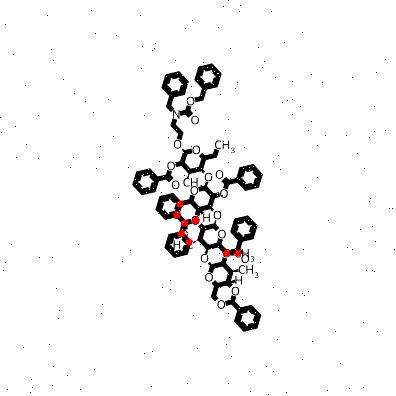 CCC1O[C@@H](O[C@@H]2C(OC(=O)c3ccccc3)[C@H](O[C@@H]3C(CC)O[C@@H](OCCN(Cc4ccccc4)C(=O)OCc4ccccc4)C(OC(=O)c4ccccc4)[C@H]3C)OC3COC(c4ccccc4)O[C@H]32)C(OC(=O)c2ccccc2)[C@@H](C)[C@@H]1O[C@@H]1OC2COC(c3ccccc3)O[C@H]2[C@H](C)C1OC(=O)c1ccccc1